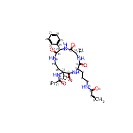 C=CC(=O)NCCCC1NC(=O)[C@](C)(NC(=O)C(C)C)CCNC(=O)[C@@H](c2ccccc2)NC(=O)[C@H](CC)NC1=O